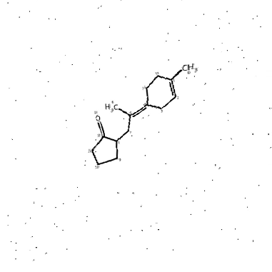 CC1=CCC(=C(C)CC2CCCC2=O)CC1